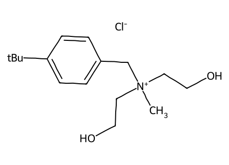 CC(C)(C)c1ccc(C[N+](C)(CCO)CCO)cc1.[Cl-]